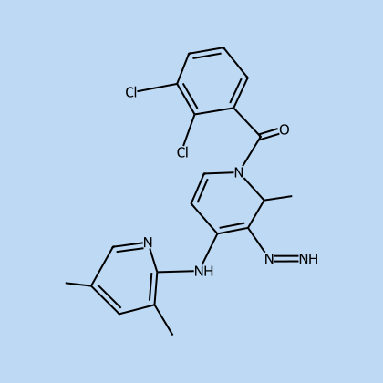 Cc1cnc(NC2=C(N=N)C(C)N(C(=O)c3cccc(Cl)c3Cl)C=C2)c(C)c1